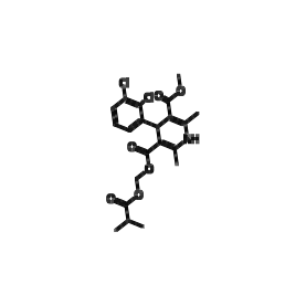 COC(=O)C1=C(C)NC(C)=C(C(=O)OCOC(=O)C(C)C)C1c1cccc(Cl)c1Cl